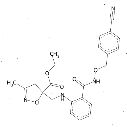 CCOC(=O)C1(CNc2ccccc2C(=O)NOCc2ccc(C#N)cc2)CC(C)=NO1